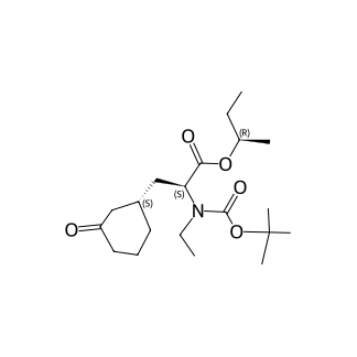 CC[C@@H](C)OC(=O)[C@H](C[C@@H]1CCCC(=O)C1)N(CC)C(=O)OC(C)(C)C